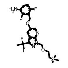 CC(F)(F)c1nn(COCC[Si](C)(C)C)c2ncc(OCc3c(F)ccc(N)c3F)cc12